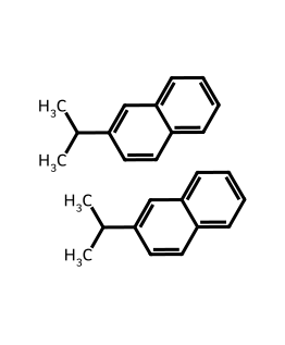 CC(C)c1ccc2ccccc2c1.CC(C)c1ccc2ccccc2c1